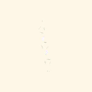 CCCCCCOc1ccc(C=Nc2ccc(N=Cc3ccc(OCCCCCC)cc3)c(Cl)c2)cc1